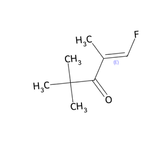 C/C(=C\F)C(=O)C(C)(C)C